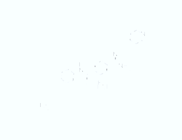 Cl.Cl.NC(=NCCc1ccncc1)c1ccc(C(=O)Nc2ccc3c(c2)CC(CC(=O)O)CC3)cc1